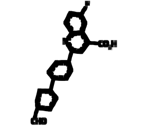 O=Cc1ccc(-c2ccc(-c3cc(C(=O)O)c4cc(F)ccc4n3)cc2)cc1